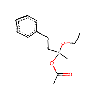 CCO[Si](C)(CCc1ccccc1)OC(C)=O